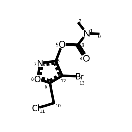 CN(C)C(=O)Oc1noc(CCl)c1Br